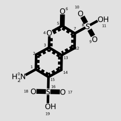 Nc1cc2oc(=O)c(S(=O)(=O)O)cc2cc1S(=O)(=O)O